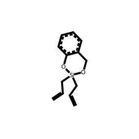 C=CC[Si]1(CC=C)OCc2ccccc2O1